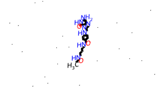 CCC(=O)NCCCCCNC(=O)c1ccc(NCc2cnc3cc(N)[nH]c(=O)c3n2)cc1